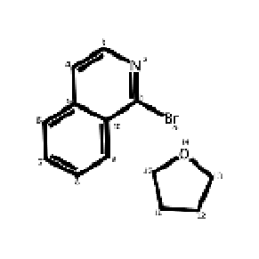 Brc1nccc2ccccc12.C1CCOC1